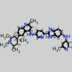 Cc1cc(Nc2ccc3nc(-c4ccc(Nc5cc(C)nc6ccc([C@]7(C)C[C@@H](C)N(C)[C@@H](C)C7)cc56)cn4)[nH]c3c2)ccn1